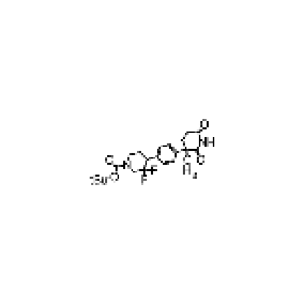 CC(C)(C)OC(=O)N1CCC(c2ccc(C3(C)CCC(=O)NC3=O)cc2)C(F)(F)C1